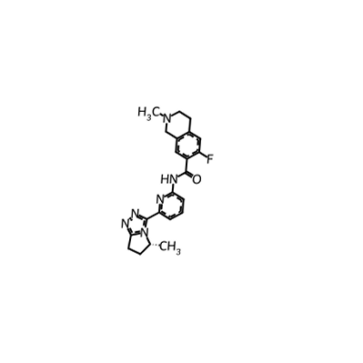 C[C@@H]1CCc2nnc(-c3cccc(NC(=O)c4cc5c(cc4F)CCN(C)C5)n3)n21